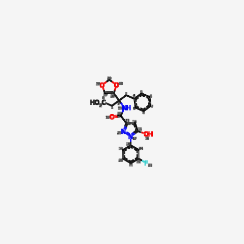 O=C(O)CC(Cc1ccccc1)(NC(=O)c1cc(O)n(-c2cccc(F)c2)n1)C1=COCO1